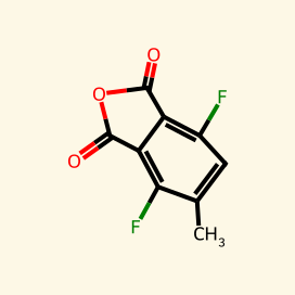 Cc1cc(F)c2c(c1F)C(=O)OC2=O